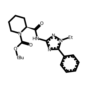 CCn1nc(NC(=O)[C@@H]2CCCCN2C(=O)OC(C)(C)C)nc1-c1ccccc1